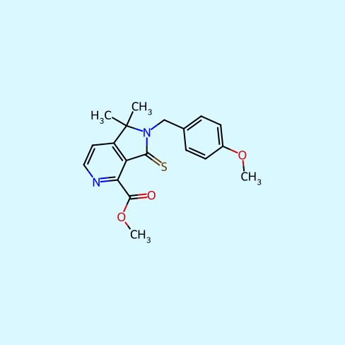 COC(=O)c1nccc2c1C(=S)N(Cc1ccc(OC)cc1)C2(C)C